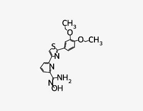 CCOc1ccc(-c2nc(-c3cccc(/C(N)=N/O)n3)cs2)cc1OCC